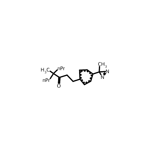 CCCC(C)(CCC)C(=O)CCc1ccc(C2(C)N=N2)cc1